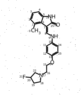 Cc1cccc2c1C(=CNc1ccc(OCCN3CCC(F)C3)cc1)C(=O)N2